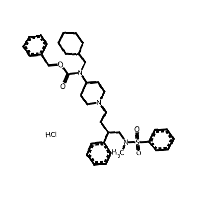 CN(CC(CCN1CCC(N(CC2CCCCC2)C(=O)OCc2ccccc2)CC1)c1ccccc1)S(=O)(=O)c1ccccc1.Cl